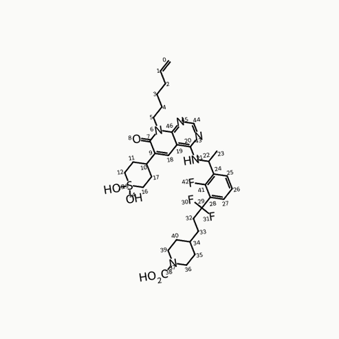 C=CCCCCn1c(=O)c(C2CCS(O)(O)CC2)cc2c(NC(C)c3cccc(C(F)(F)CCC4CCN(C(=O)O)CC4)c3F)ncnc21